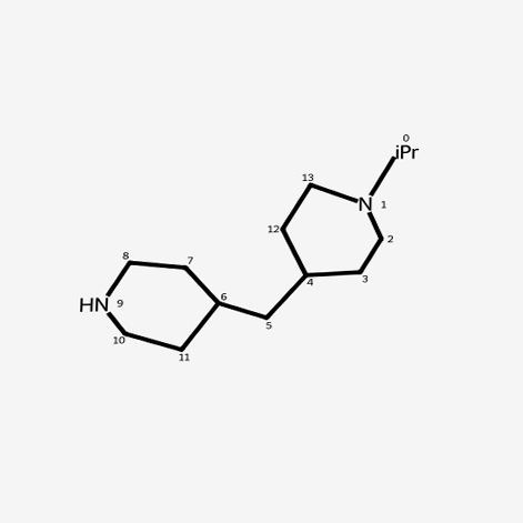 CC(C)N1CCC(CC2CCNCC2)CC1